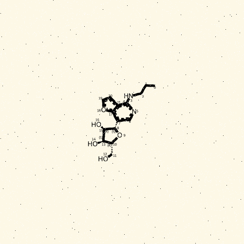 CCCNc1ncc([C@@H]2O[C@H](CO)[C@@H](O)[C@H]2O)c2occc12